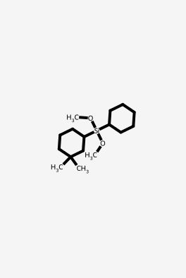 CO[Si](OC)(C1CCCCC1)C1CCCC(C)(C)C1